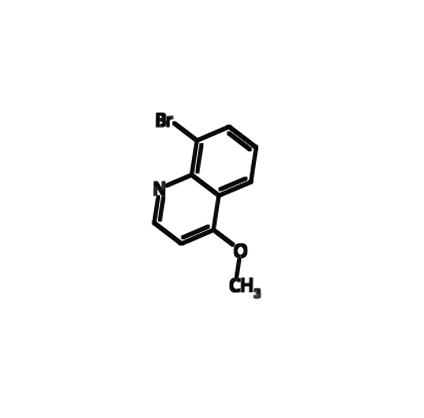 COc1ccnc2c(Br)cccc12